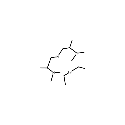 CC(C[N-]CC(C)N(C)C)N(C)C.C[CH2][In+][CH2]C